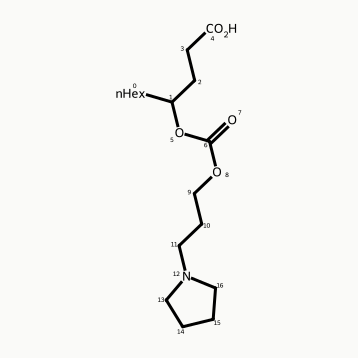 CCCCCCC(CCC(=O)O)OC(=O)OCCCN1CCCC1